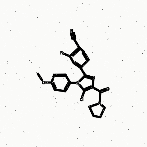 COc1ccc(-n2c(-c3ccc(C#N)c(F)c3)nc(C(=O)N3CCCC3)c2Cl)cc1